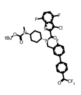 CN(C(=O)OC(C)(C)C)[C@H]1CC[C@H](N(Cc2cc(-c3ccc(C(=O)C(F)(F)F)cc3)ccc2F)C(=O)c2sc3c(F)ccc(F)c3c2Cl)CC1